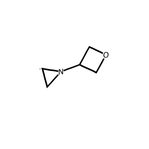 [CH]1CN1C1COC1